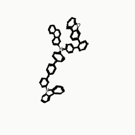 c1cc(-c2ccc(-c3ccc(N(c4ccc(-c5ccccc5-c5ccc6c(c5)oc5ccccc56)cc4)c4ccc5c(ccc6ccccc65)c4)cc3)cc2)cc(-n2c3ccccc3c3ccccc32)c1